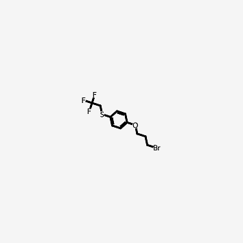 FC(F)(F)CSc1ccc(OCCCBr)cc1